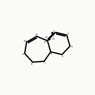 C1=CC2=CCCC3CCCC=CC23C=C1